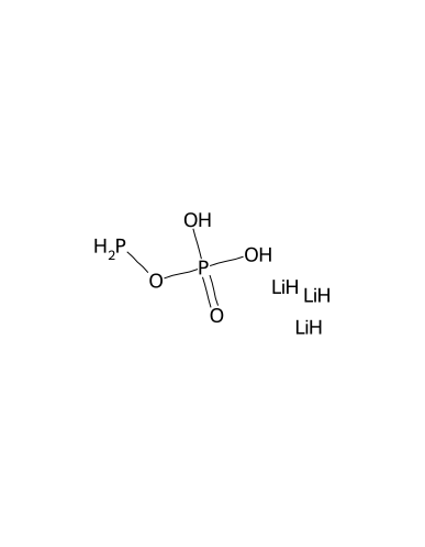 O=P(O)(O)OP.[LiH].[LiH].[LiH]